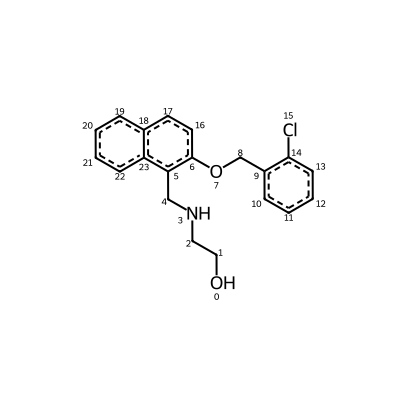 OCCNCc1c(OCc2ccccc2Cl)ccc2ccccc12